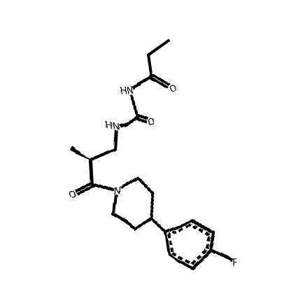 CCC(=O)NC(=O)NC[C@H](C)C(=O)N1CCC(c2ccc(F)cc2)CC1